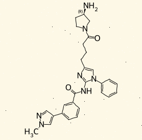 Cn1cc(-c2cccc(C(=O)Nc3nc(CCCC(=O)N4CC[C@@H](N)C4)cn3-c3ccccc3)c2)cn1